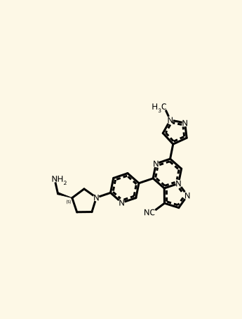 Cn1cc(-c2cn3ncc(C#N)c3c(-c3ccc(N4CC[C@@H](CN)C4)nc3)n2)cn1